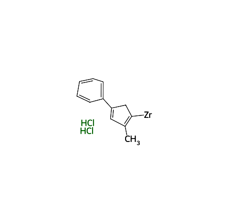 CC1=[C]([Zr])CC(c2ccccc2)=C1.Cl.Cl